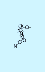 Cc1ccc(C2c3c(C)c(N4CCN(C(=O)c5ccc(C#N)cc5)CC4)c(C)c(C)c3OC2(C)C)cc1